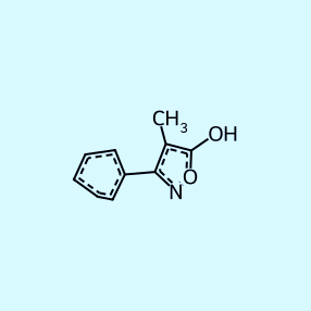 Cc1c(-c2ccccc2)noc1O